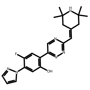 CC1(C)CC(=Cc2ncc(-c3cc(F)c(-n4cccn4)cc3O)nn2)CC(C)(C)N1